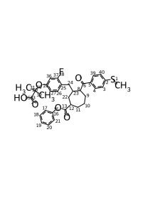 CSc1ccc(C(=O)C2CCCC(C(=O)Oc3ccccc3)CC2Cc2ccc(OC(C)(C)C(=O)O)cc2F)cc1